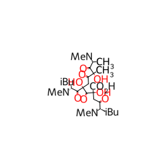 CCC(C)[C@@H](NC)C(=O)CC(O)(C(=O)O)C(=O)C(O)(CC(=O)C(C)(O)C(=O)[C@H](C)NC)C(=O)[C@H](NC)C(C)CC